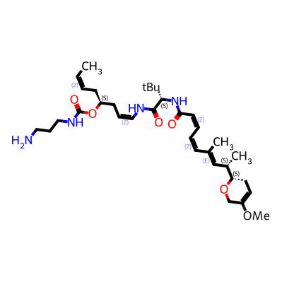 C/C=C\C[C@@H](C/C=C\NC(=O)[C@@H](NC(=O)\C=C/C=C\C(C)=C\[C@H](C)[C@@H]1CC=C(OC)CO1)C(C)(C)C)OC(=O)NCCCN